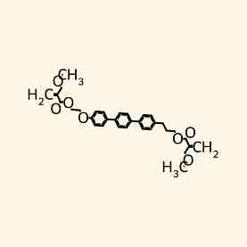 C=C(COC)C(=O)OCCCc1ccc(-c2ccc(-c3ccc(OCCOC(=O)C(=C)COC)cc3)cc2)cc1